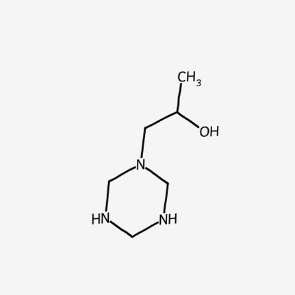 CC(O)CN1CNCNC1